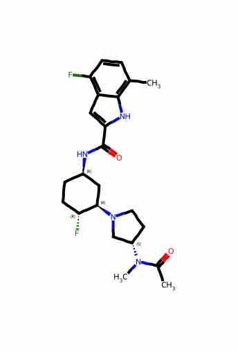 CC(=O)N(C)[C@H]1CCN([C@@H]2C[C@H](NC(=O)c3cc4c(F)ccc(C)c4[nH]3)CC[C@H]2F)C1